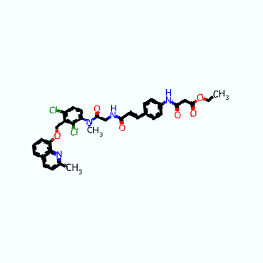 CCOC(=O)CC(=O)Nc1ccc(/C=C/C(=O)NCC(=O)N(C)c2ccc(Cl)c(COc3cccc4ccc(C)nc34)c2Cl)cc1